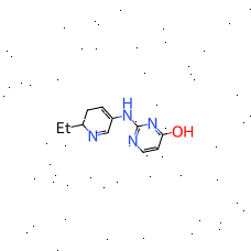 CCC1CC=C(Nc2nccc(O)n2)C=N1